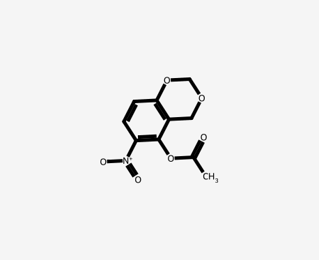 CC(=O)Oc1c([N+](=O)[O-])ccc2c1COCO2